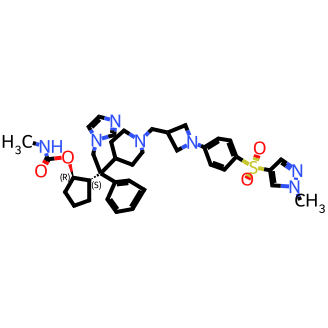 CNC(=O)O[C@@H]1CCC[C@H]1C(Cn1ccnc1)(c1ccccc1)C1CCN(CC2CN(c3ccc(S(=O)(=O)c4cnn(C)c4)cc3)C2)CC1